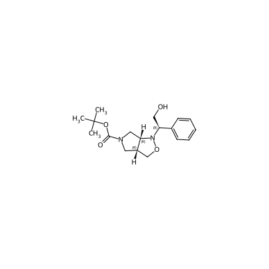 CC(C)(C)OC(=O)N1C[C@H]2CON([C@@H](CO)c3ccccc3)[C@H]2C1